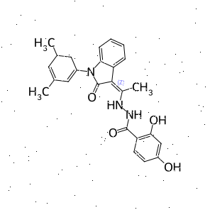 CC1=CC(C)CC(N2C(=O)/C(=C(/C)NNC(=O)c3ccc(O)cc3O)c3ccccc32)=C1